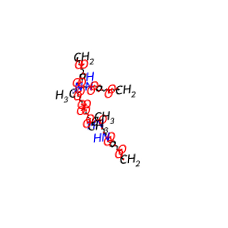 C=CCOC(=O)CCc1ccc(OC(=O)NCCCCCNC(=O)C(C)=C=C(C)C(=O)OCCCOC(=O)C(=O)OCCCOC(=O)/C(C)=C\N(CCCNC(=O)Oc2ccc(CCC(=O)OCC=C)cc2)C(=O)Oc2ccc(CCC(=O)OCC=C)cc2)cc1